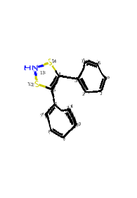 c1ccc(C2=C(c3ccccc3)SNS2)cc1